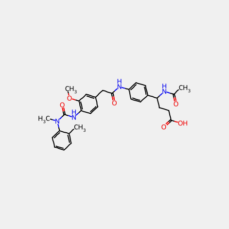 COc1cc(CC(=O)Nc2ccc(C(CCC(=O)O)NC(C)=O)cc2)ccc1NC(=O)N(C)c1ccccc1C